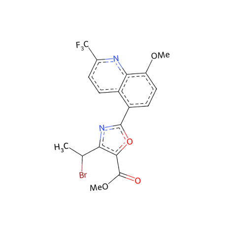 COC(=O)c1oc(-c2ccc(OC)c3nc(C(F)(F)F)ccc23)nc1C(C)Br